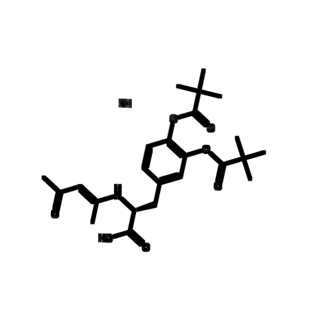 CC(=O)/C=C(\C)N[C@@H](Cc1ccc(OC(=O)C(C)(C)C)c(OC(=O)C(C)(C)C)c1)C(=O)O.[KH]